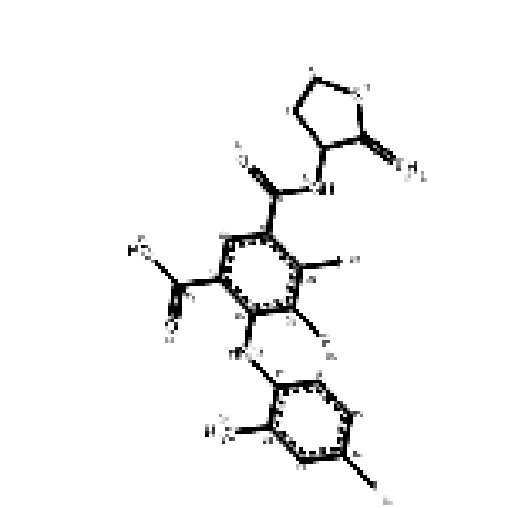 C=C1SCCC1NC(=O)c1cc(C(=O)O)c(Nc2ccc(I)cc2C)c(F)c1F